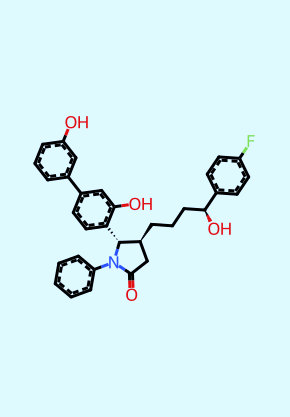 O=C1C[C@H](CCC[C@H](O)c2ccc(F)cc2)[C@@H](c2ccc(-c3cccc(O)c3)cc2O)N1c1ccccc1